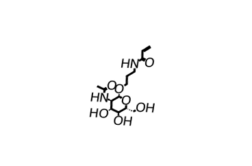 C=CC(=O)NCCCO[C@@H]1O[C@H](CO)[C@@H](O)[C@H](O)[C@H]1NC(C)=O